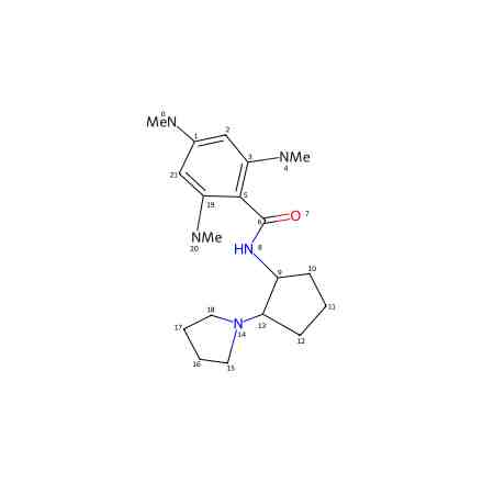 CNc1cc(NC)c(C(=O)NC2CCCC2N2CCCC2)c(NC)c1